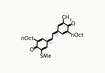 CCCCCCCCC1=C/C(=C\C=C2/C=C(CCCCCCCC)C(=O)C(SC)=C2)C=C(C)C1=O